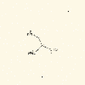 CCCCC(C=O)SC